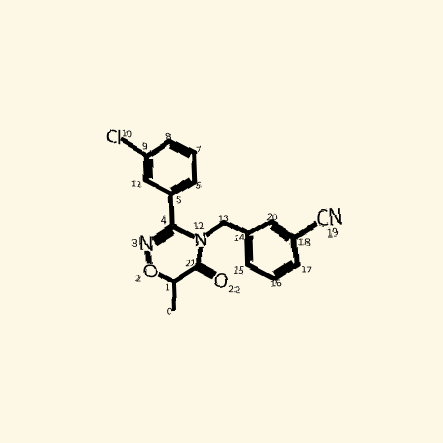 CC1ON=C(c2cccc(Cl)c2)N(Cc2cccc(C#N)c2)C1=O